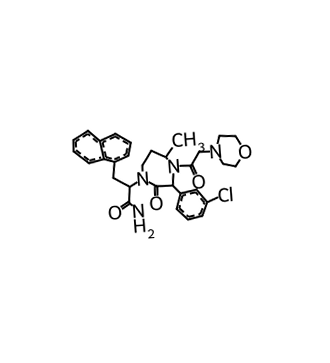 CC1CCN(C(Cc2cccc3ccccc23)C(N)=O)C(=O)C(c2cccc(Cl)c2)N1C(=O)CN1CCOCC1